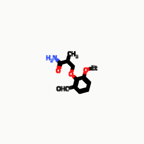 CCOc1cccc(C=O)c1OCC(C)C(N)=O